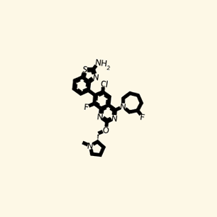 CN1CCC[C@H]1COc1nc(N2CCCCC(F)C2)c2cc(Cl)c(-c3cccc4sc(N)nc34)c(F)c2n1